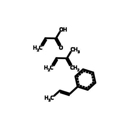 C=CC(=C)C.C=CC(=O)O.CC=Cc1ccccc1